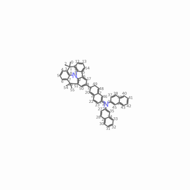 CC1(C)c2cccc3c2-n2c4c1cccc4c1cc(C4C=c5ccc(N(c6ccc7ccccc7c6)c6ccc7ccccc7c6)cc5=CC4)cc(c12)C3(C)C